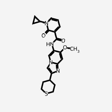 COc1cc2nc(C3CCSCC3)cn2cc1NC(=O)c1cccn(C2CC2)c1=O